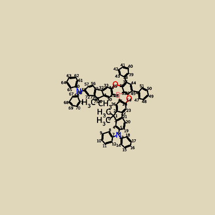 CC1(C)c2cc(N(c3ccccc3)c3ccccc3)ccc2-c2cc3c(cc21)B1c2cc4c(cc2Oc2c(-c5ccccc5)cc(-c5ccccc5)c(c21)O3)-c1ccc(N(c2ccccc2)c2ccccc2)cc1C4(C)C